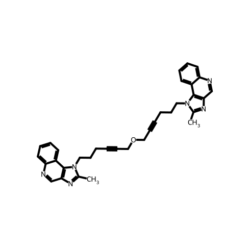 Cc1nc2cnc3ccccc3c2n1CCCC#CCOCC#CCCCn1c(C)nc2cnc3ccccc3c21